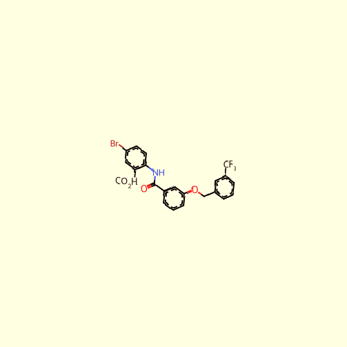 O=C(Nc1ccc(Br)cc1C(=O)O)c1cccc(OCc2cccc(C(F)(F)F)c2)c1